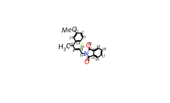 COc1cccc(C(C)C=C(F)CN2C(=O)c3ccccc3C2=O)c1